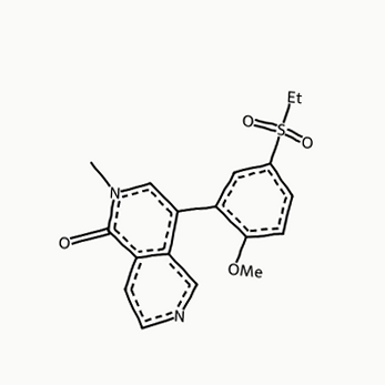 CCS(=O)(=O)c1ccc(OC)c(-c2cn(C)c(=O)c3ccncc23)c1